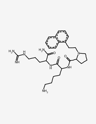 N=C(N)NCCCC(NC(=O)C(CCCCN)NC(=O)C1CCCN1CCc1cccc2ccccc12)C(N)=O